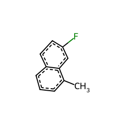 Cc1cccc2ccc(F)cc12